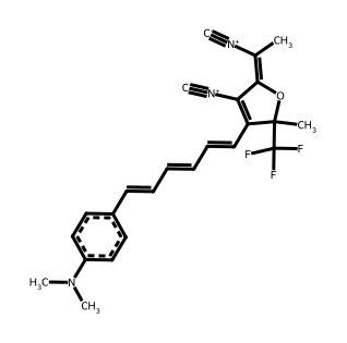 [C-]#[N+]C1=C(/C=C/C=C/C=C/c2ccc(N(C)C)cc2)C(C)(C(F)(F)F)O/C1=C(\C)[N+]#[C-]